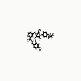 COc1ccc(CNC(=O)c2cc(CN3C(=O)N(c4ccc(OC(F)(F)F)cc4)C(=O)C3C)ccn2)cc1